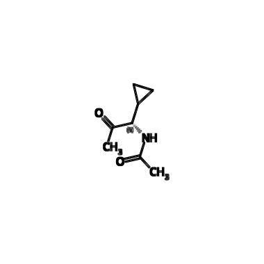 CC(=O)N[C@H](C(C)=O)C1CC1